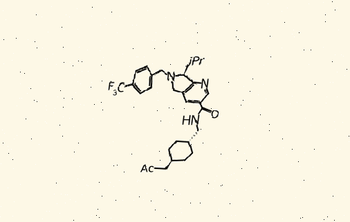 CC(=O)C[C@H]1CC[C@H](CNC(=O)c2cnc3c(c2)CN(Cc2ccc(C(F)(F)F)cc2)[C@H]3C(C)C)CC1